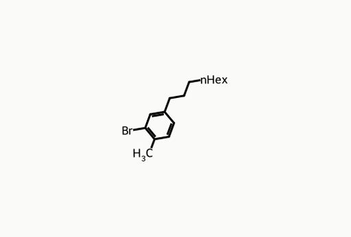 CCCCCCCCCc1ccc(C)c(Br)c1